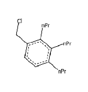 CCCc1ccc(CCl)c(CCC)c1CCC